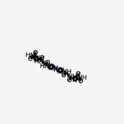 O=C(CCNC(=O)c1ccc2c(c1)C(=O)NC2=O)Nc1ccc(/N=N/c2ccc(NC(=O)CCNC(=O)c3ccc4c(c3)C(=O)NC4=O)cc2)cc1